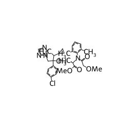 CC(C1CC1)C(O)(Cn1cncn1)c1ccc(Cl)cc1.COCC(=O)N(c1c(C)cccc1C)[C@H](C)C(=O)OC